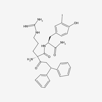 N=C(N)NCCC[C@](N)(C(=O)CC(c1ccccc1)c1ccccc1)C(=O)N[C@@H](Cc1ccc(O)c(I)c1)C(N)=O